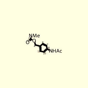 CNC(=O)OCc1ccc(NC(C)=O)cc1